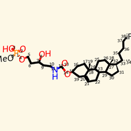 COP(=O)(O)OCCC(O)CCNC(=O)OC1CC[C@@]2(C)C(=CCC3C2CC[C@@]2(C)C3CC[C@@H]2[C@@H](C)CCCC(C)C)C1